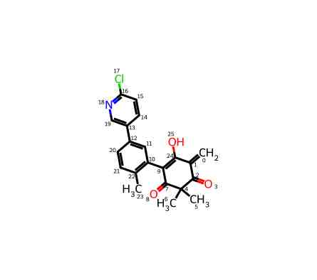 C=C1C(=O)C(C)(C)C(=O)C(c2cc(-c3ccc(Cl)nc3)ccc2C)=C1O